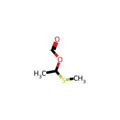 CS[C](C)O[C]=O